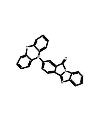 O=C1c2cc(N3c4ccccc4Oc4ccccc43)ccc2-c2nc3ccccc3n21